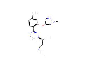 C=N/C(=N\C=C(/C)CCN)c1ccc(C#N)cc1Oc1cnn(CC(F)(F)F)c1